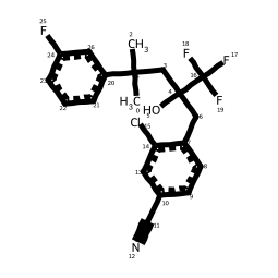 CC(C)(CC(O)(Cc1ccc(C#N)cc1Cl)C(F)(F)F)c1cccc(F)c1